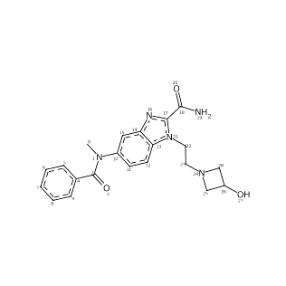 CN(C(=O)c1ccccc1)c1ccc2c(c1)nc(C(N)=O)n2CCN1CC(O)C1